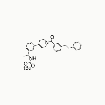 CC(NC(=O)OC(C)(C)C)c1cccc(C2=CCN(C(=O)c3cccc(CCc4ccccc4)c3)CC2)c1